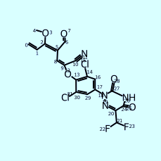 C=C/C(OC)=C(C=O)\C=C(/C#N)Oc1c(Cl)cc(-n2nc(C(F)F)c(=O)[nH]c2=O)cc1Cl